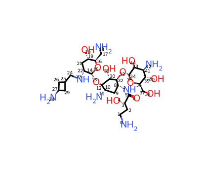 NCC[C@H](O)C(=O)N[C@@H]1C[C@H](N)[C@@H](O[C@H]2O[C@H](CN)[C@@H](O)C[C@H]2NCC2CC(N)C2)[C@H](O)[C@H]1O[C@H]1O[C@H](CO)[C@@H](O)[C@H](N)[C@H]1O